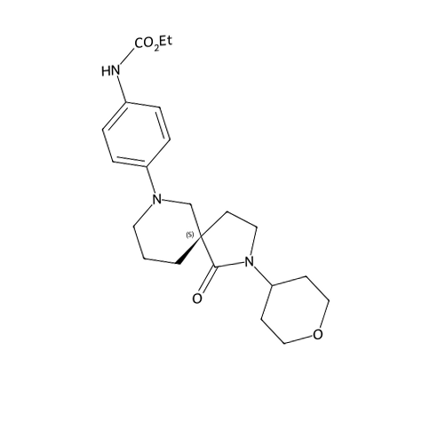 CCOC(=O)Nc1ccc(N2CCC[C@]3(CCN(C4CCOCC4)C3=O)C2)cc1